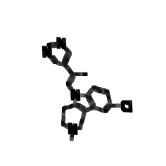 CC(=Cn1c2c(c3cc(Cl)ccc31)CN(C)CC2)c1cncnc1